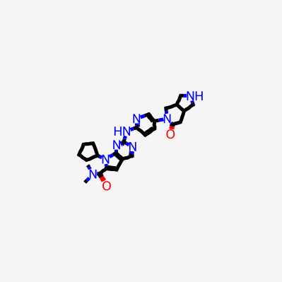 CN(C)C(=O)c1cc2cnc(Nc3ccc(N4CC5CNCC5CC4=O)cn3)nc2n1C1CCCC1